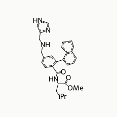 COC(=O)C(CC(C)C)NC(=O)c1ccc(CNCc2c[nH]cn2)cc1-c1cccc2ccccc12